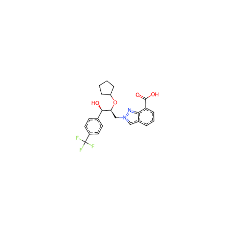 O=C(O)c1cccc2cn(C[C@H](OC3CCCC3)[C@H](O)c3ccc(C(F)(F)F)cc3)nc12